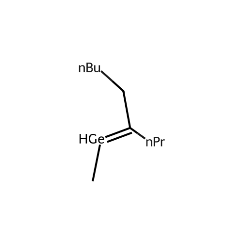 CCCCC[C](CCC)=[GeH][CH3]